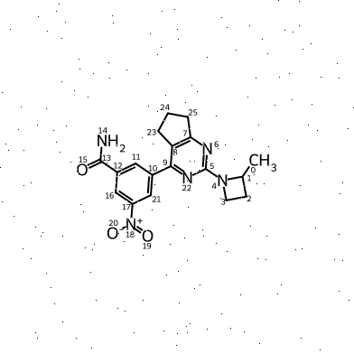 CC1CCN1c1nc2c(c(-c3cc(C(N)=O)cc([N+](=O)[O-])c3)n1)CCC2